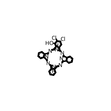 Oc1c(Cl)c(Cl)cc2c3nc4nc(nc5[nH]c(nc6nc(nc([nH]3)c12)-c1ccccc1-6)c1ccccc51)-c1ccccc1-4